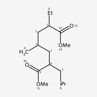 CCC(CC(C)CC(CC(C)C)C(=O)OC)C(=O)OC